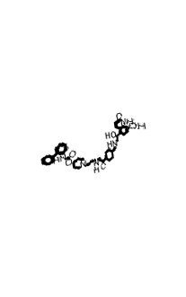 O=C(Nc1ccccc1-c1ccccc1)OC1CCN(CCNCC(=O)C2CCC(CNC[C@@H](O)c3ccc(O)c4[nH]c(=O)ccc34)CC2)CC1